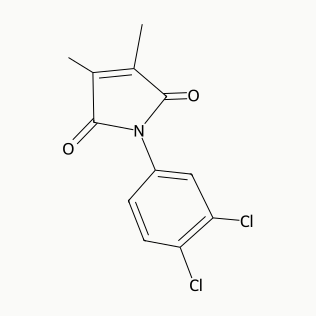 CC1=C(C)C(=O)N(c2ccc(Cl)c(Cl)c2)C1=O